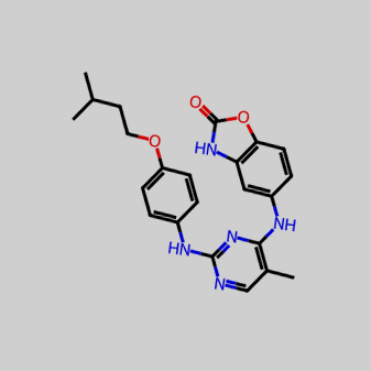 Cc1cnc(Nc2ccc(OCCC(C)C)cc2)nc1Nc1ccc2oc(=O)[nH]c2c1